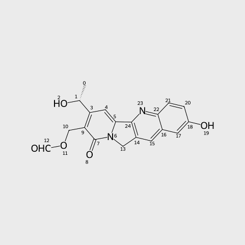 C[C@@H](O)c1cc2n(c(=O)c1COC=O)Cc1cc3cc(O)ccc3nc1-2